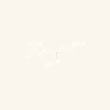 CC(C(=O)O)C(NC(=O)C=CC(=O)O)C(=O)O